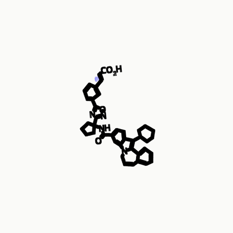 O=C(O)/C=C/c1cccc(-c2nc(C3(NC(=O)c4ccc5c(C6CCCCC6)c6n(c5c4)CC=Cc4ccccc4-6)CCCC3)no2)c1